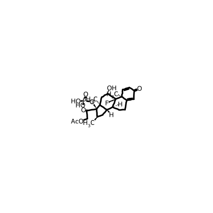 CC(=O)OCC(=O)[C@@]1(OP(=O)(O)O)[C@H](C)C[C@H]2[C@@H]3CCC4=CC(=O)C=C[C@]4(C)[C@@]3(F)[C@@H](O)C[C@@]21C